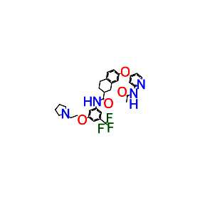 CC(=O)Nc1cc(Oc2ccc3c(c2)CC(C(=O)Nc2cc(OCCN4CCCC4)cc(C(F)(F)F)c2)CC3)ccn1